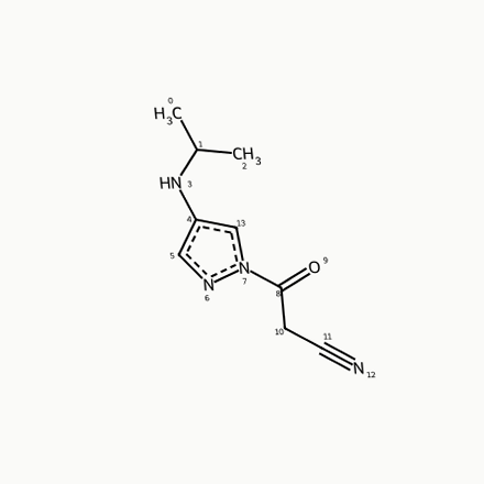 CC(C)Nc1cnn(C(=O)CC#N)c1